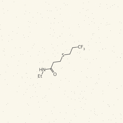 CCNC(=O)CCSCCC(F)(F)F